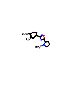 CCCCCCCCc1ccc(-c2noc(C3CCCN3C(=O)O)n2)cc1C(F)(F)F